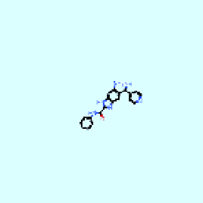 N=C(c1ccncc1)c1cc2nc(C(=O)Nc3ccccc3)[nH]c2cc1N